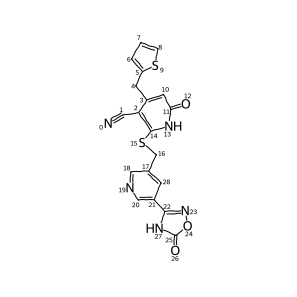 N#Cc1c(Cc2cccs2)cc(=O)[nH]c1SCc1cncc(-c2noc(=O)[nH]2)c1